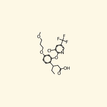 CCC(CC(=O)O)c1ccc(OCCCOC)cc1Oc1ncc(C(F)(F)F)cc1Cl